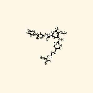 COc1c(Nc2ncc(OCCO[Si](C)(C)C(C)(C)C)cn2)cc(C(=O)Nc2nnc(-n3cccn3)s2)oc1=O